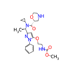 COC(=O)NCCOc1cc([C@@H](C)N(C(=O)[C@H]2CNCCO2)C2CC2)nn1-c1ccccc1